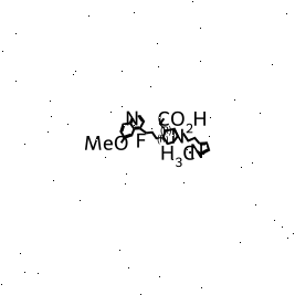 COc1ccc2nccc(C(F)CC[C@@H]3CCN(CCCc4cccn4C)C[C@@H]3CC(=O)O)c2c1